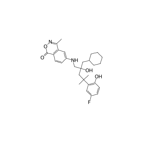 Cc1noc(=O)c2ccc(NCC(O)(CC3CCCCC3)CC(C)(C)c3cc(F)ccc3O)cc12